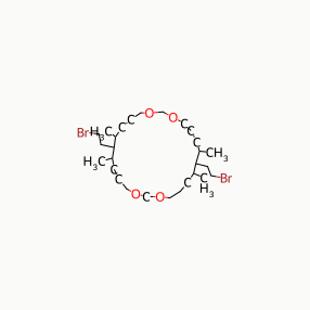 CC1CCCOCOCCCC(C)C(CCBr)C(C)CCCOCOCCCC(C)C1CCBr